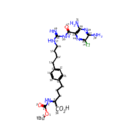 CC(C)(C)OC(=O)NC(CCCc1ccc(CCCCNC(=N)NC(=O)c2nc(Cl)c(N)nc2N)cc1)C(=O)O